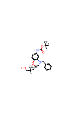 CCOC(=O)C(C)(CO)C[C@H]1CN(Cc2ccccc2)c2cc(NC(=O)OC(C)(C)C(F)(F)F)ccc2O1